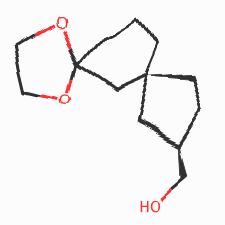 OC[C@@H]1CC[C@@]2(CCCC3(C2)OCCO3)C1